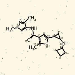 Cc1nn(C)cc1NC(=O)c1cc(C2CC2NC2CCC2)sc1C